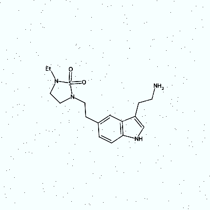 CCN1CCN(CCc2ccc3[nH]cc(CCN)c3c2)S1(=O)=O